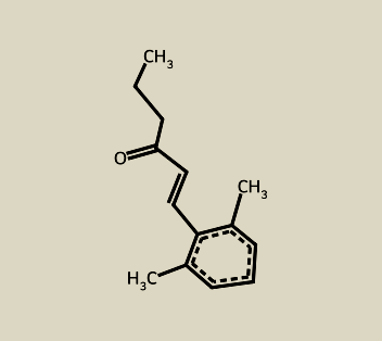 CCCC(=O)C=Cc1c(C)cccc1C